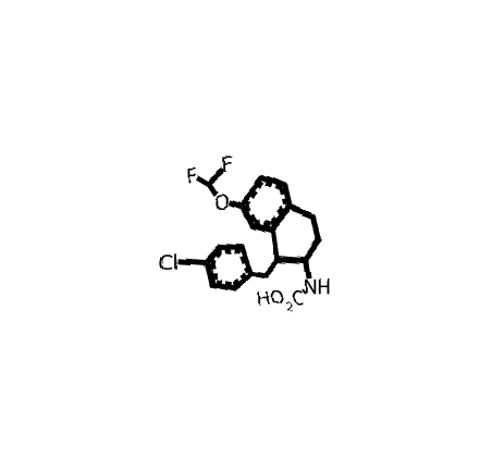 O=C(O)NC1CCc2ccc(OC(F)F)cc2C1Cc1ccc(Cl)cc1